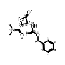 CN(C)C(=O)[C@@H]1NC(=O)[C@@H]1NC(=O)OCc1ccccc1